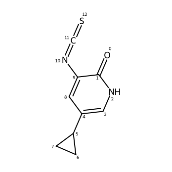 O=c1[nH]cc(C2CC2)cc1N=C=S